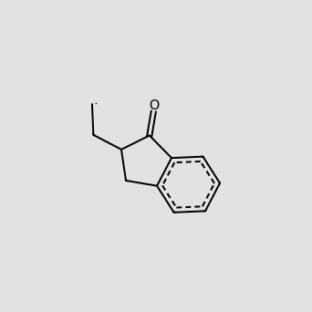 [CH2]CC1Cc2ccccc2C1=O